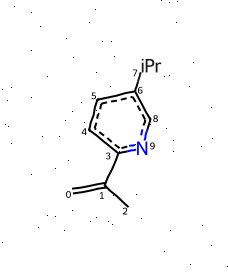 C=C(C)c1ccc(C(C)C)cn1